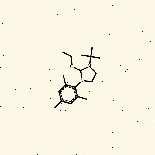 CCOC1N(c2c(C)cc(C)cc2C)CCN1C(C)(C)C